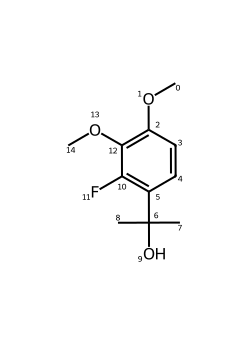 COc1ccc(C(C)(C)O)c(F)c1OC